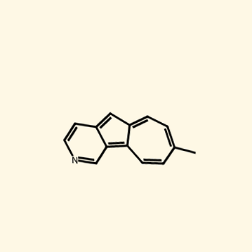 Cc1ccc2cc3ccncc3c-2cc1